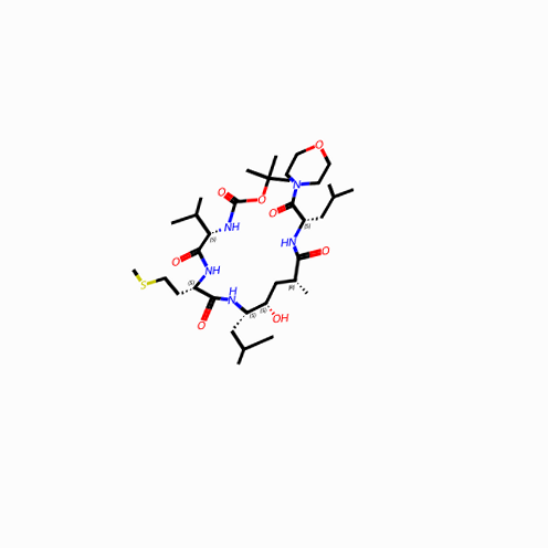 CSCC[C@H](NC(=O)[C@@H](NC(=O)OC(C)(C)C)C(C)C)C(=O)N[C@@H](CC(C)C)[C@@H](O)C[C@@H](C)C(=O)N[C@@H](CC(C)C)C(=O)N1CCOCC1